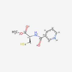 COC(=O)[C@H](CS)NC(=O)c1cccnc1